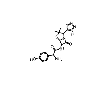 CC1(C)SC2C(NC(=O)C(N)c3ccc(O)cc3)C(=O)N2C1c1nnn[nH]1